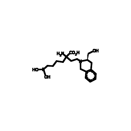 NC(CCCCB(O)O)(CCN1Cc2ccccc2C[C@H]1CO)C(=O)O